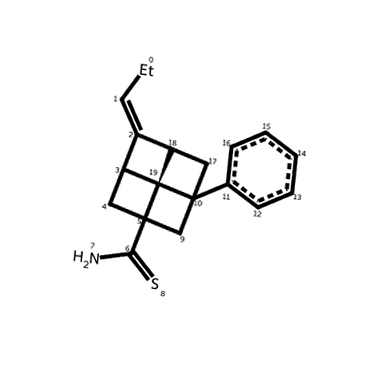 CC/C=C1/C2CC3(C(N)=S)CC4(c5ccccc5)CC1[C@]234